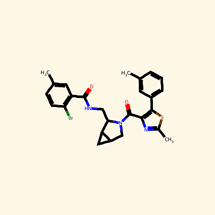 Cc1cccc(-c2sc(C)nc2C(=O)N2CC3CC3C2CNC(=O)c2cc(C)ccc2Br)c1